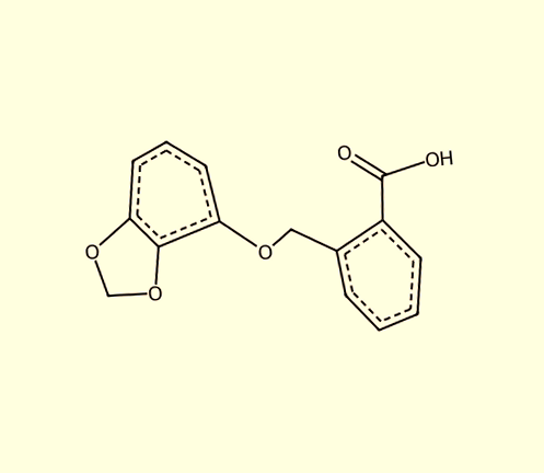 O=C(O)c1ccccc1COc1cccc2c1OCO2